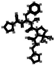 CC1(C)SCN(C(=O)[C@@H](O)[C@H](Cc2ccccc2)NC(=O)[C@@H]2CCCO2)[C@@H]1C(=O)NC[C@H]1CCCO1